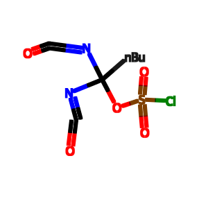 CCCCC(N=C=O)(N=C=O)OS(=O)(=O)Cl